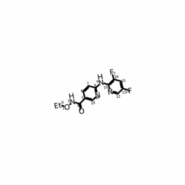 CCONC(=O)c1ccc(Nc2ncc(F)cc2F)nc1